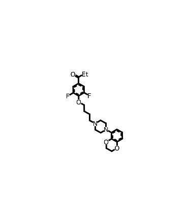 CCC(=O)c1cc(F)c(OCCCCN2CCN(c3cccc4c3OCCO4)CC2)c(F)c1